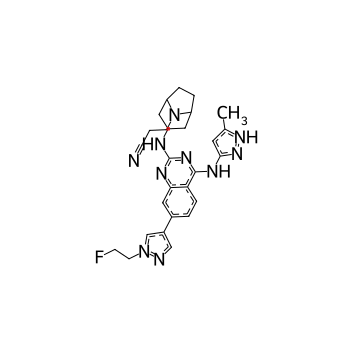 Cc1cc(Nc2nc(NC3CC4CCC(C3)N4CCC#N)nc3cc(-c4cnn(CCF)c4)ccc23)n[nH]1